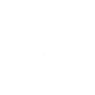 O=C(CCSc1ccccc1)Nc1ccc(S(=O)(=O)N2CCCCC2)cc1